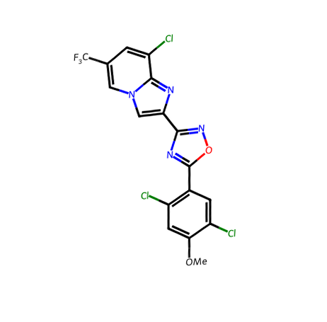 COc1cc(Cl)c(-c2nc(-c3cn4cc(C(F)(F)F)cc(Cl)c4n3)no2)cc1Cl